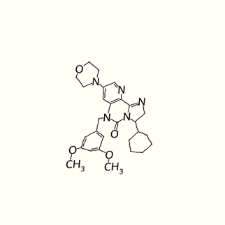 COc1cc(CN2C(=O)N3C(=NCC3C3CCCCC3)c3ncc(N4CCOCC4)cc32)cc(OC)c1